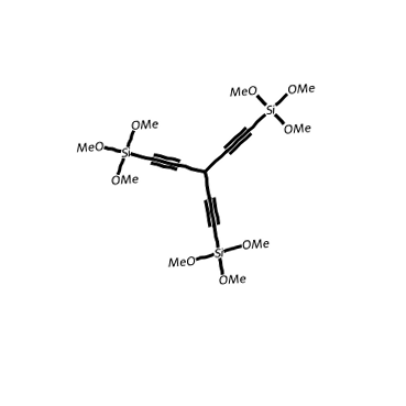 CO[Si](C#CC(C#C[Si](OC)(OC)OC)C#C[Si](OC)(OC)OC)(OC)OC